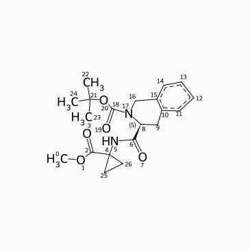 COC(=O)C1(NC(=O)[C@@H]2Cc3ccccc3CN2C(=O)OC(C)(C)C)CC1